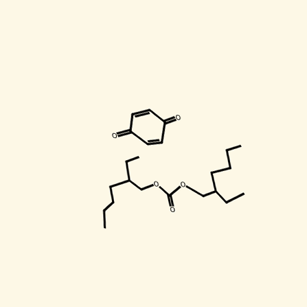 CCCCC(CC)COC(=O)OCC(CC)CCCC.O=C1C=CC(=O)C=C1